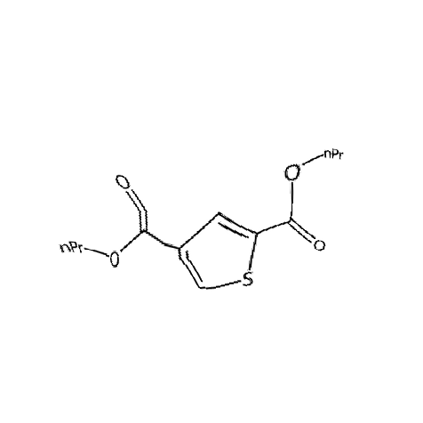 CCCOC(=O)c1csc(C(=O)OCCC)c1